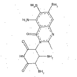 Bc1cc2nc(C)n(C3C(=O)NC(=O)C(B)C3B)c(=O)c2c(N)c1B